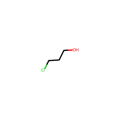 OCC[CH]Cl